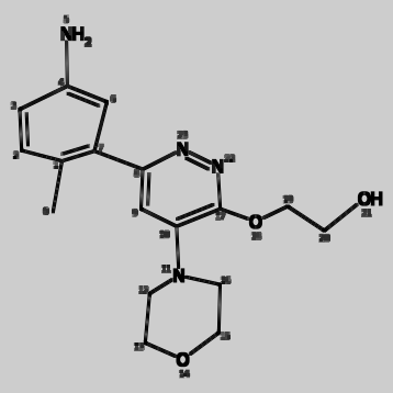 Cc1ccc(N)cc1-c1cc(N2CCOCC2)c(OCCO)nn1